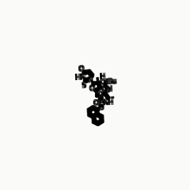 C[C@H](N[P@@](=O)(OC[C@H]1O[C@@H](n2ccc(=O)[nH]c2=S)[C@](C)(O)C1O)Oc1cccc2ccccc12)C(=O)OCC(C)(C)C